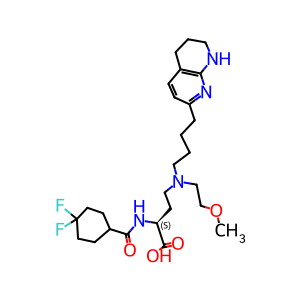 COCCN(CCCCc1ccc2c(n1)NCCC2)CC[C@H](NC(=O)C1CCC(F)(F)CC1)C(=O)O